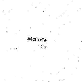 [Co].[Cu].[Fe].[Mo]